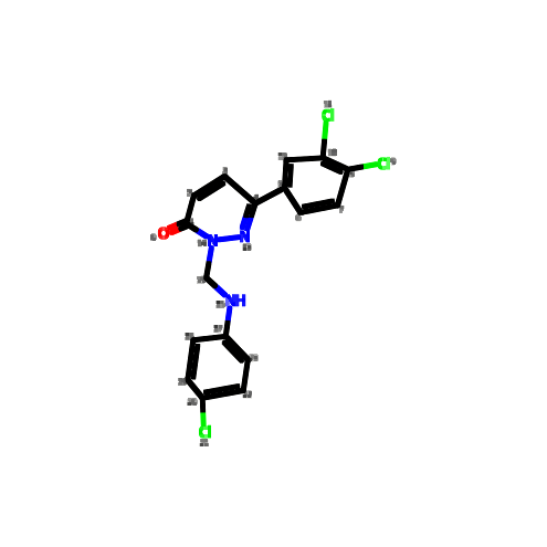 O=c1ccc(-c2ccc(Cl)c(Cl)c2)nn1CNc1ccc(Cl)cc1